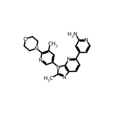 Cc1cc(-n2c(C)nc3ccc(-c4ccnc(N)c4)nc32)cnc1N1CCOCC1